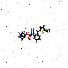 O=C(Nc1ccccc1Cc1ccc(Cl)s1)OC1CN2CCC1CC2